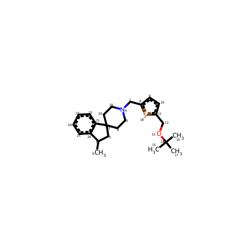 CC1CC2(CCN(Cc3ccc(COC(C)(C)C)s3)CC2)c2ccccc21